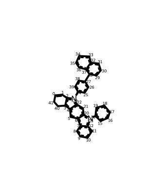 C1=Cc2c(c3cc4c5ccccc5n(-c5ccccc5)c4cc3n2-c2ccc(-c3cccc4ccccc34)cc2)CC1